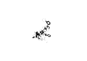 CCOc1nc(N)nc2c1ncn2[C@@H]1O[C@H](CO[P@@]2(=O)OCC[C@@H](c3cccc(Cl)c3)O2)[C@@H](OC(=O)C2CCCC2)[C@@]1(C)O